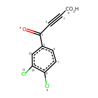 O=C(O)C#CC(=O)c1ccc(Cl)c(Cl)c1